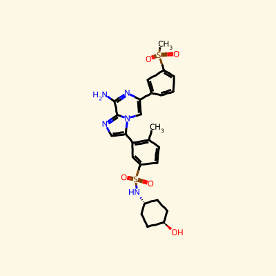 Cc1ccc(S(=O)(=O)N[C@H]2CC[C@H](O)CC2)cc1-c1cnc2c(N)nc(-c3cccc(S(C)(=O)=O)c3)cn12